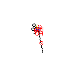 CCCCCCCOCCCCCCC=CC(C(=O)N1C(=O)SC(c2ccccc2)(c2ccccc2)[C@@H]1C(C)C)C(O)(CCC)C(=O)O